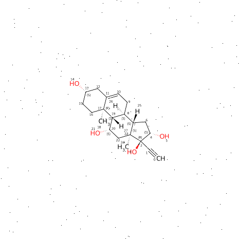 C#C[C@@]1(O)[C@@H](O)C[C@H]2[C@@H]3CC=C4C[C@@H](O)CC[C@]4(C)[C@H]3[C@@H](O)C[C@@]21C